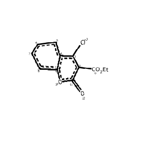 CCOC(=O)c1c(Cl)c2ccccc2oc1=O